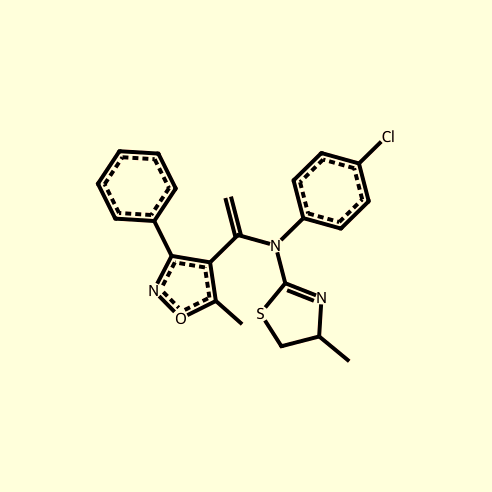 C=C(c1c(-c2ccccc2)noc1C)N(C1=NC(C)CS1)c1ccc(Cl)cc1